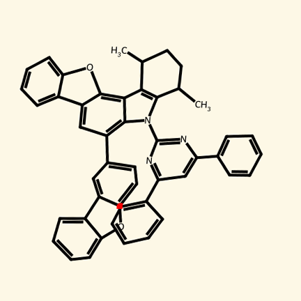 CC1CCC(C)c2c1c1c3oc4ccccc4c3cc(-c3ccc4oc5ccccc5c4c3)c1n2-c1nc(-c2ccccc2)cc(-c2ccccc2)n1